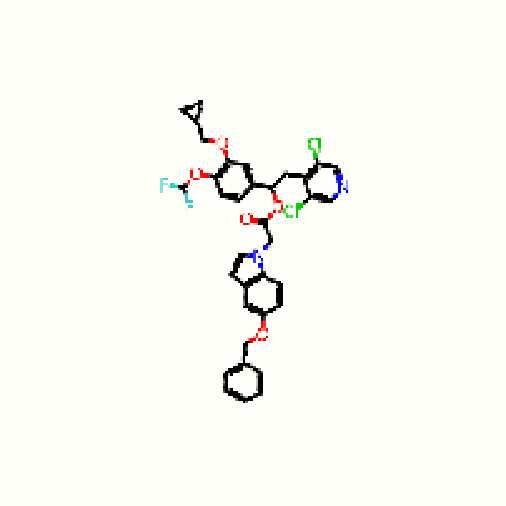 O=C(Cn1ccc2cc(OCc3ccccc3)ccc21)OC(Cc1c(Cl)cncc1Cl)c1ccc(OC(F)F)c(OCC2CC2)c1